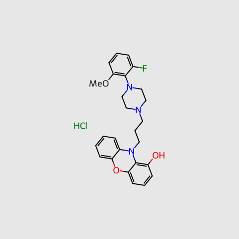 COc1cccc(F)c1N1CCN(CCCN2c3ccccc3Oc3cccc(O)c32)CC1.Cl